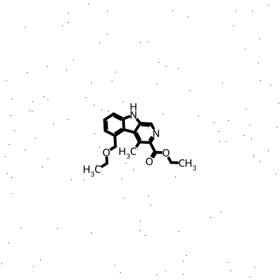 CCOCc1cccc2[nH]c3cnc(C(=O)OCC)c(C)c3c12